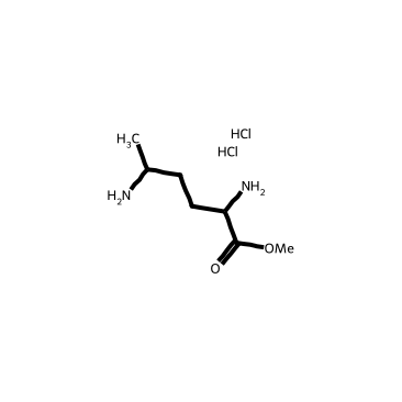 COC(=O)C(N)CCC(C)N.Cl.Cl